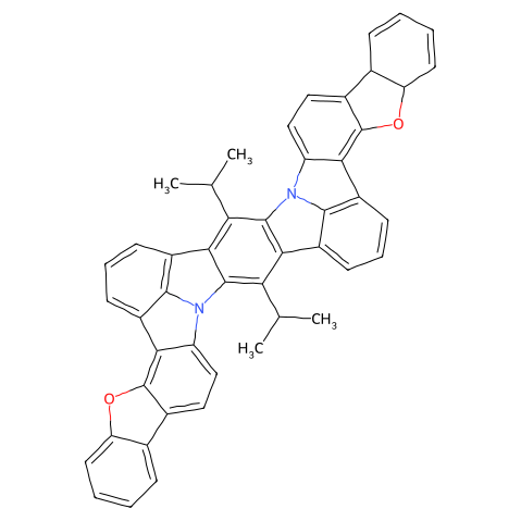 CC(C)c1c2c3cccc4c5c6oc7ccccc7c6ccc5n(c2c(C(C)C)c2c5cccc6c7c8c(ccc7n(c12)c65)C1C=CC=CC1O8)c34